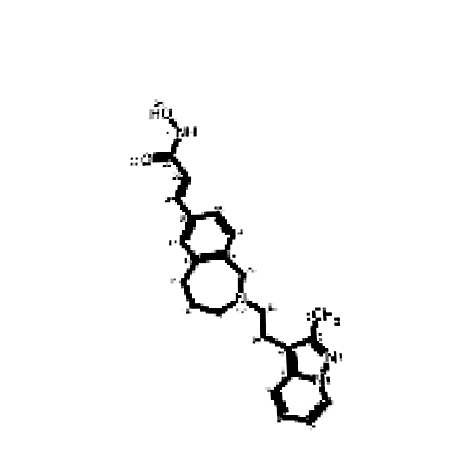 Cc1nn2ccccc2c1CCN1CCCc2cc(C=CC(=O)NO)ccc2C1